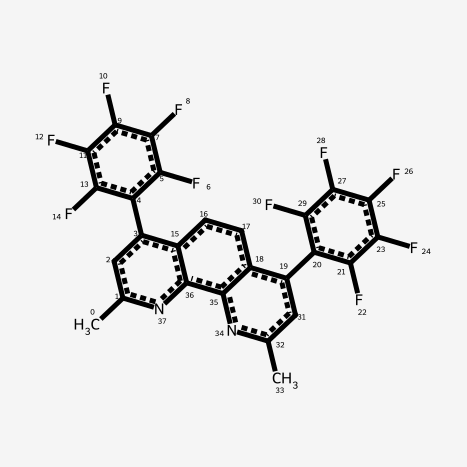 Cc1cc(-c2c(F)c(F)c(F)c(F)c2F)c2ccc3c(-c4c(F)c(F)c(F)c(F)c4F)cc(C)nc3c2n1